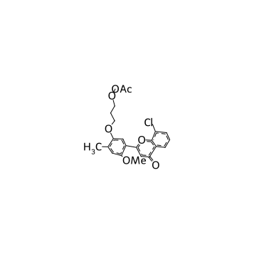 COc1cc(C)c(OCCCOOC(C)=O)cc1-c1cc(=O)c2cccc(Cl)c2o1